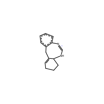 C1=C2Cc3ccccc3/N=C\NC2CCC1